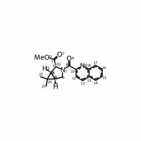 COC(=O)[C@@H]1[C@@H]2[C@H](CN1C(=O)c1ccc3ccccc3n1)C2(C)C